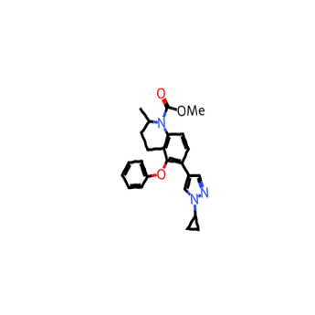 COC(=O)N1c2ccc(-c3cnn(C4CC4)c3)c(Oc3ccccc3)c2CCC1C